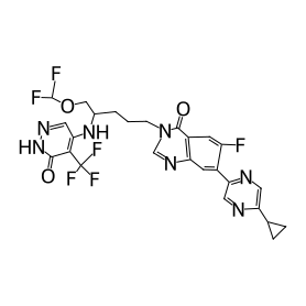 O=c1[nH]ncc(NC(CCCn2cnc3cc(-c4cnc(C5CC5)cn4)c(F)cc3c2=O)COC(F)F)c1C(F)(F)F